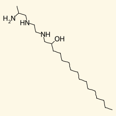 CCCCCCCCCCCCCCC(O)CNCCNCC(C)N